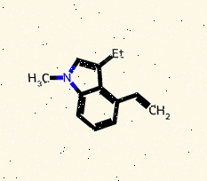 C=Cc1cccc2c1c(CC)cn2C